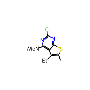 CCc1c(C)sc2nc(Cl)nc(NC)c12